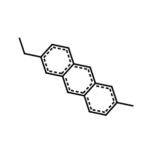 CCc1ccc2cc3cc(C)ccc3cc2c1